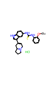 CCC(C)Oc1ccccc1NC(=S)Nc1ccc2[nH]cc(C3=CCN4CCCC4C3)c2c1.Cl